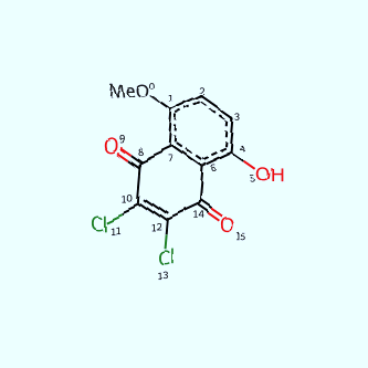 COc1ccc(O)c2c1C(=O)C(Cl)=C(Cl)C2=O